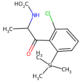 CC(NC(=O)O)C(=O)c1c(Cl)cccc1[Si](C)(C)C